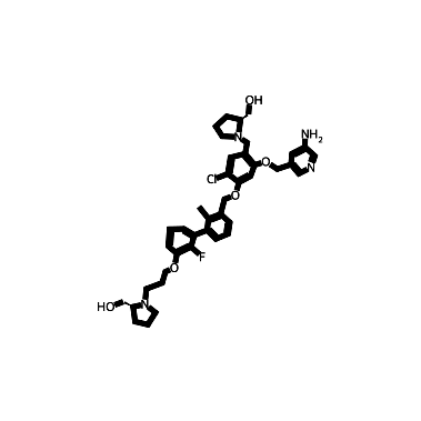 Cc1c(COc2cc(OCc3cncc(N)c3)c(CN3CCC[C@@H]3CO)cc2Cl)cccc1-c1cccc(OCCCN2CCC[C@@H]2CO)c1F